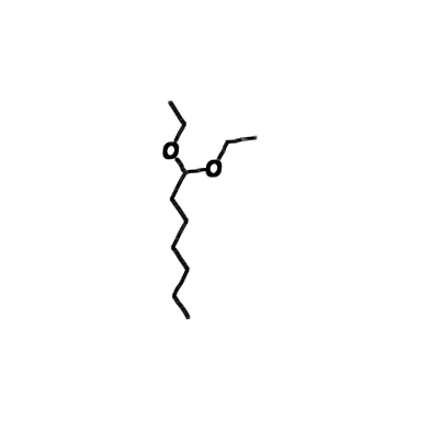 CCCCCCC(OCC)OCC